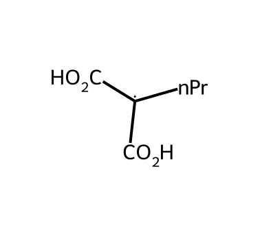 CCC[C](C(=O)O)C(=O)O